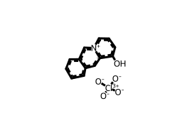 Oc1ccc[n+]2cc3ccccc3cc12.[O-][Cl+3]([O-])([O-])[O-]